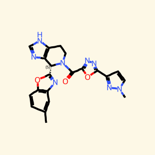 Cc1ccc2oc([C@@H]3c4nc[nH]c4CCN3C(=O)c3nnc(-c4ccn(C)n4)o3)nc2c1